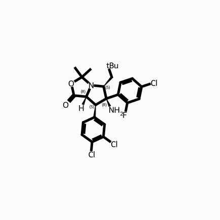 CC(C)(C)C[C@@H]1N2[C@@H](C(=O)OC2(C)C)[C@H](c2ccc(Cl)c(Cl)c2)[C@@]1(N)c1ccc(Cl)cc1F